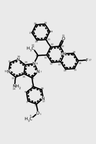 COc1ccc(-c2nn(C(C)c3cc4ccc(F)cn4c(=O)c3-c3ccccc3)c3ncnc(N)c23)cn1